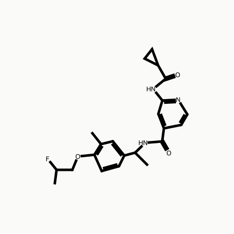 Cc1cc(C(C)NC(=O)c2ccnc(NC(=O)C3CC3)c2)ccc1OCC(C)F